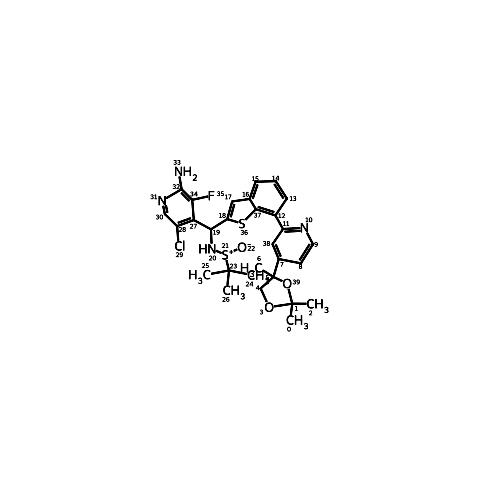 CC1(C)OCC(C)(c2ccnc(-c3cccc4cc(C(N[S+]([O-])C(C)(C)C)c5c(Cl)cnc(N)c5F)sc34)c2)O1